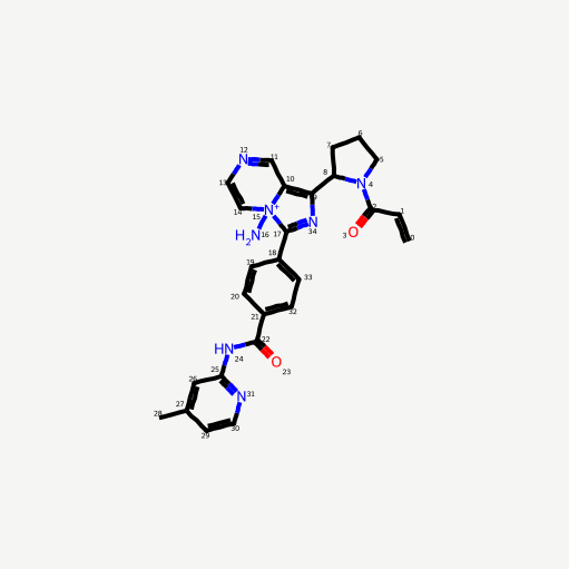 C=CC(=O)N1CCCC1C1=C2C=NC=C[N+]2(N)C(c2ccc(C(=O)Nc3cc(C)ccn3)cc2)=N1